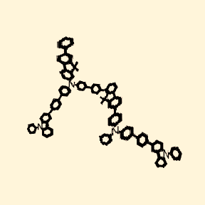 CC1(C)c2cc(-c3ccccc3)ccc2-c2ccc(N(c3ccc(-c4ccc(-c5ccc6c(c5)c5ccccc5n6-c5ccccc5)cc4)cc3)c3ccc(-c4ccc(-c5cccc6c5C(C)(C)c5cc(-c7ccc(N(c8ccccc8)c8ccc(-c9ccc(-c%10ccc%11c(c%10)c%10ccccc%10n%11-c%10ccccc%10)cc9)cc8)cc7)ccc5-6)cc4)cc3)cc21